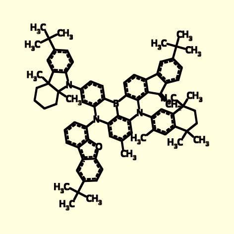 C=C1c2ccc(C(C)(C)C)cc2-c2ccc3c(c21)N(c1cc2c(cc1C)C(C)(C)CCC2(C)C)c1cc(C)cc2c1B3c1ccc(N3c4ccc(C(C)(C)C)cc4C4(C)CCCCC34C)cc1N2c1cccc2c1oc1ccc(C(C)(C)C)cc12